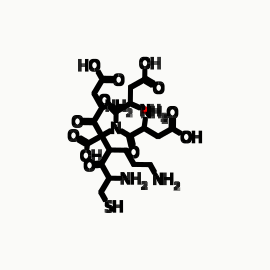 NCCCC(C(=O)C(N)CS)C(C(=O)O)(C(=O)C(N)CC(=O)O)N(C(=O)C(N)CC(=O)O)C(=O)C(N)CC(=O)O